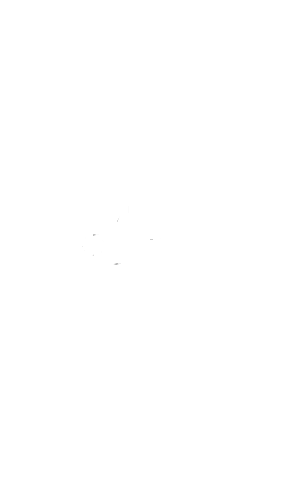 C=C[C@H]1C[C@@H](OCCCC)C[C@@H](/C=C\c2ccccc2)O1